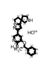 C[C@H](Oc1cc(-c2cc3n(n2)CCC32CCNC2)cnc1N)c1ccccc1.Cl